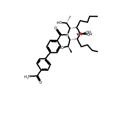 CCCCC(NO)[C@H]([C@@H](C)O)N(C(=O)c1ccc(-c2ccc(C(N)=O)cc2)cc1)[C@@H](C(CCCC)NO)[C@@H](C)O